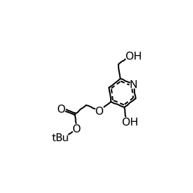 CC(C)(C)OC(=O)COc1cc(CO)ncc1O